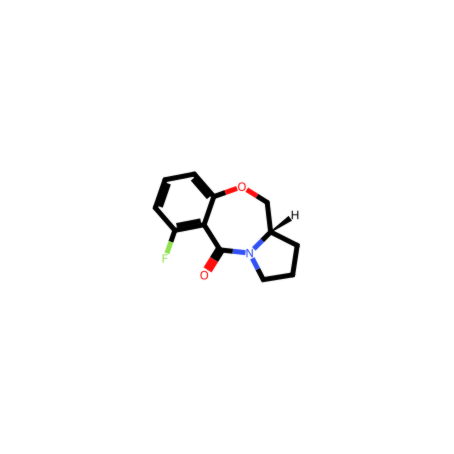 O=C1c2c(F)cccc2OC[C@@H]2CCCN12